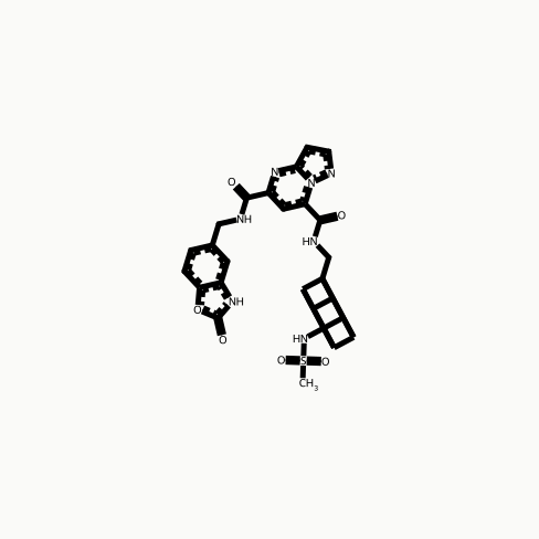 CS(=O)(=O)NC12C3C4C1C1C2C3C41CNC(=O)c1cc(C(=O)NCc2ccc3oc(=O)[nH]c3c2)nc2ccnn12